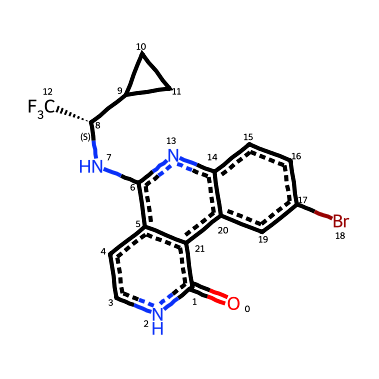 O=c1[nH]ccc2c(N[C@@H](C3CC3)C(F)(F)F)nc3ccc(Br)cc3c12